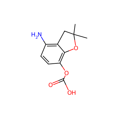 CC1(C)Cc2c(N)ccc(OC(=O)O)c2O1